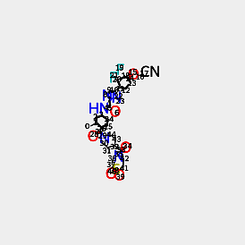 Cc1cc(NC(=O)c2ncc(-c3ccc(OCC#N)c(F)c3F)n2C)ccc1C(=O)N1CCC(C(=O)N2CCS(=O)(=O)CC2)CC1